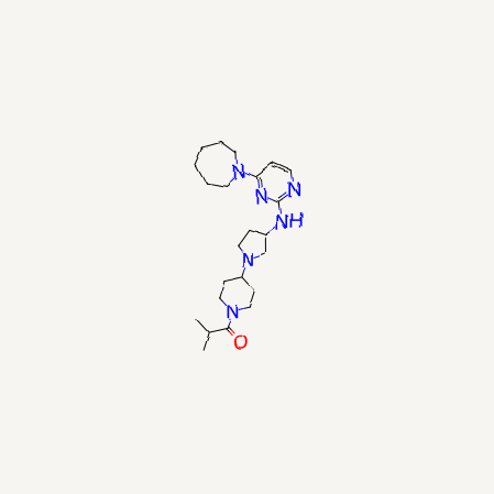 CC(C)C(=O)N1CCC(N2CCC(Nc3nccc(N4CCCCCC4)n3)C2)CC1